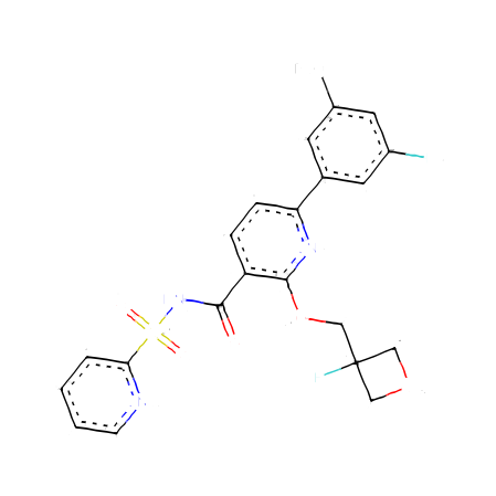 CC(C)COc1cc(F)cc(-c2ccc(C(=O)NS(=O)(=O)c3ccccn3)c(OCC3(F)COC3)n2)c1